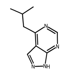 CC(C)Cc1ncnc2[nH]ncc12